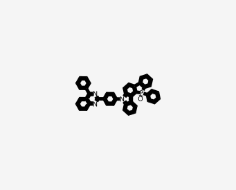 O=P1(c2ccccc2)c2ccccc2-c2ccc3c(c21)c1ccccc1n3-c1ccc(-c2nc(-c3ccccc3)c3ccccc3n2)cc1